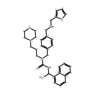 CC(NC(=O)N(CCCN1CCOCC1)Cc1ccc(CNCc2ccco2)cc1)c1cccc2ccccc12